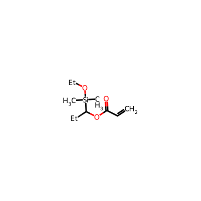 C=CC(=O)OC(CC)[Si](C)(C)OCC